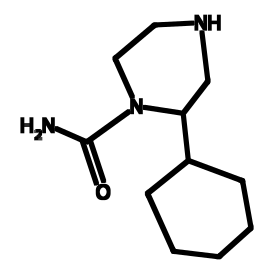 NC(=O)N1CCNCC1C1CCCCC1